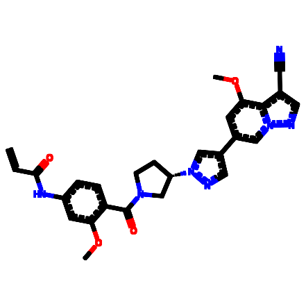 C=CC(=O)Nc1ccc(C(=O)N2CC[C@H](n3cc(-c4cc(OC)c5c(C#N)cnn5c4)cn3)C2)c(OC)c1